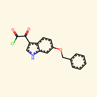 O=C(Cl)C(=O)c1c[nH]c2cc(OCc3ccccc3)ccc12